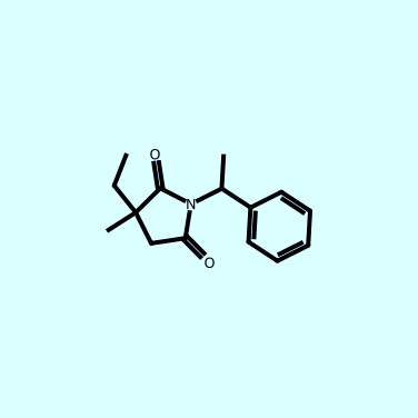 CCC1(C)CC(=O)N(C(C)c2ccccc2)C1=O